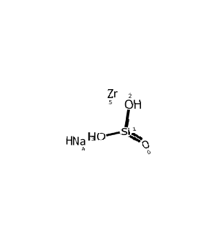 O=[Si](O)O.[NaH].[Zr]